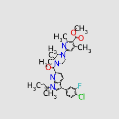 CC[C@H](C)n1cc(-c2ccc(Cl)c(F)c2)c2ccc(C(=O)N3CCN(c4cc(C)c(C(=O)OC)c(C)n4)CC3(C)C)nc21